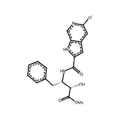 COC(=O)[C@@H](O)[C@H](Cc1ccccc1)NC(=O)c1cc2cc(Cl)ncc2[nH]1